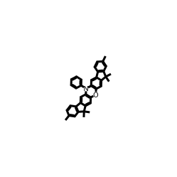 Cc1ccc2c(c1)C(C)(C)c1cc3c(cc1-2)N(c1ccccc1)c1cc2c(cc1O3)C(C)(C)c1cc(C)ccc1-2